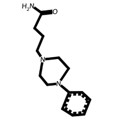 NC(=O)CCCN1CCN(c2ccccc2)CC1